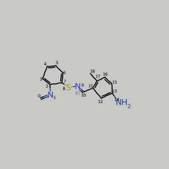 C=Nc1ccccc1S/N=C/c1cc(N)ccc1C